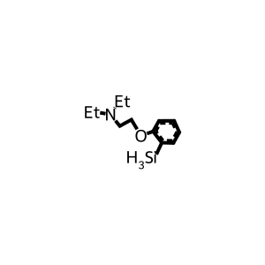 CCN(CC)CCOc1ccccc1[SiH3]